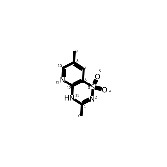 CC1=NS(=O)(=O)c2cc(C)cnc2N1